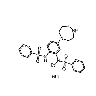 CCN(c1cc(N2CCCNCC2)ccc1NS(=O)(=O)c1ccccc1)S(=O)(=O)c1ccccc1.Cl